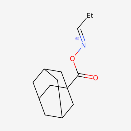 CC/C=N/OC(=O)C12CC3CC(CC(C3)C1)C2